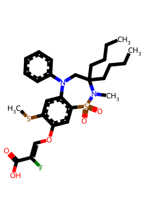 CCCCC1(CCCC)CN(c2ccccc2)c2cc(SC)c(O/C=C(\F)C(=O)O)cc2S(=O)(=O)N1C